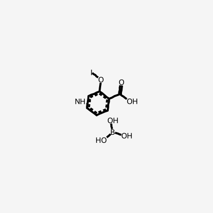 N.O=C(O)c1ccccc1OI.OB(O)O